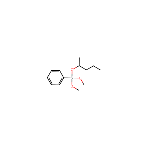 CCCC(C)O[Si](OC)(OC)c1ccccc1